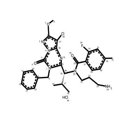 COc1nn2c(=O)n(Cc3ccccc3)c([C@@H](C(C)C)N(CCCN)C(=O)c3ccc(C)cc3F)nc2c1Cl.Cl